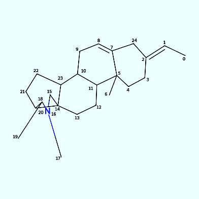 CC=C1CCC2(C)C(=CCC3C2CCC24CN(C)C(C)C2CCC34)C1